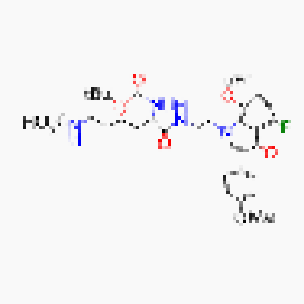 CCCOc1ccc(F)c2c(=O)c(-c3ccc(OC)cc3)cn(CCNC(=O)C(CCCCNC(=O)O)NC(=O)OC(C)(C)C)c12